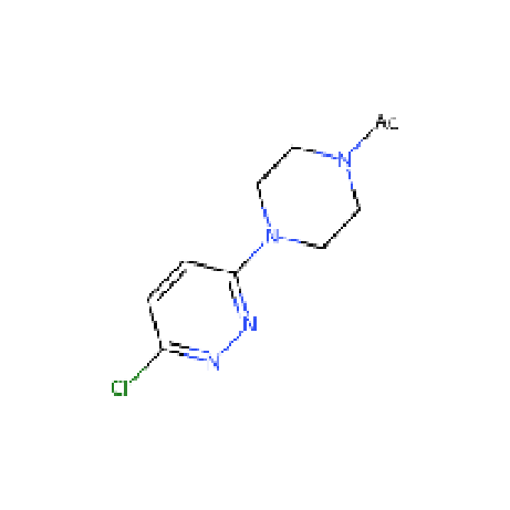 CC(=O)N1CCN(c2ccc(Cl)nn2)CC1